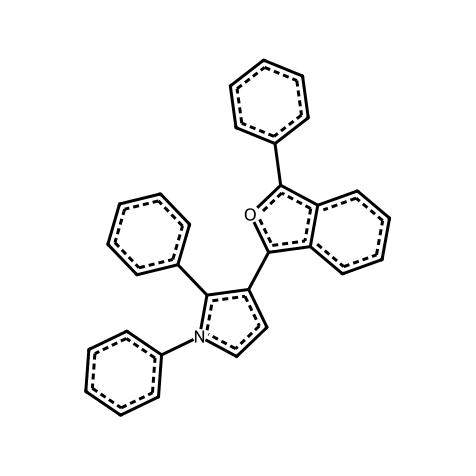 c1ccc(-c2oc(-c3ccn(-c4ccccc4)c3-c3ccccc3)c3ccccc23)cc1